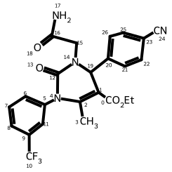 CCOC(=O)C1=C(C)N(c2cccc(C(F)(F)F)c2)C(=O)N(CC(N)=O)C1c1ccc(C#N)cc1